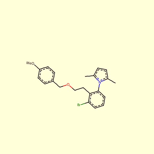 COc1ccc(COCCc2c(Br)cccc2-n2c(C)ccc2C)cc1